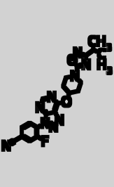 CC(C)c1noc(N2CCC(Oc3ncnc4c3nnn4-c3ccc(C#N)cc3F)CC2)n1